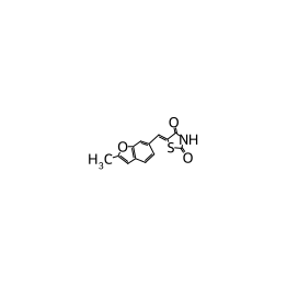 Cc1cc2ccc(/C=C3\SC(=O)NC3=O)cc2o1